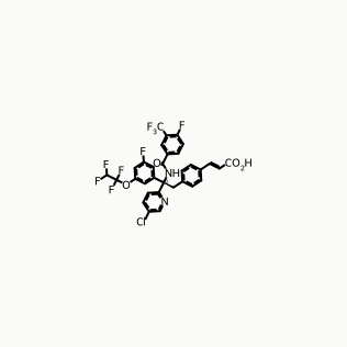 O=C(O)C=Cc1ccc(C[C@](NC(=O)c2ccc(F)c(C(F)(F)F)c2)(c2cc(F)cc(OC(F)(F)C(F)F)c2)c2ccc(Cl)cn2)cc1